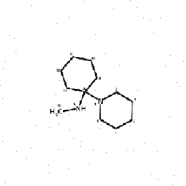 CNC1(N2CCCCC2)CCCCC1